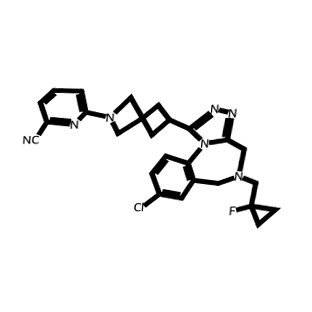 N#Cc1cccc(N2CC3(CC(c4nnc5n4-c4ccc(Cl)cc4CN(CC4(F)CC4)C5)C3)C2)n1